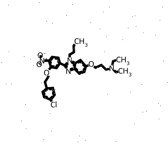 CCCCn1c(-c2ccc([N+](=O)[O-])c(OCCc3ccc(Cl)cc3)c2)nc2ccc(OCCCN(CC)CC)cc21